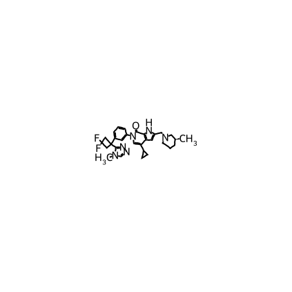 C[C@H]1CCCN(Cc2cc3c(C4CC4)cn(-c4cccc(C5(c6nncn6C)CC(F)(F)C5)c4)c(=O)c3[nH]2)C1